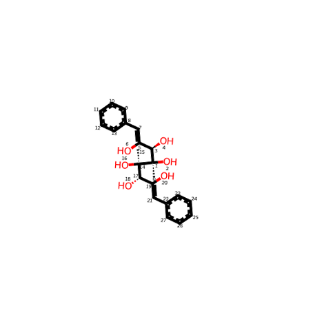 C[C@@](O)([C@H](O)C(O)=Cc1ccccc1)[C@](C)(O)[C@@H](O)C(O)=Cc1ccccc1